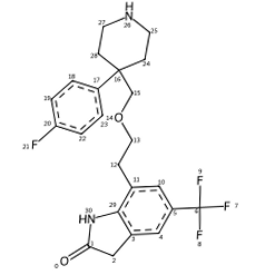 O=C1Cc2cc(C(F)(F)F)cc(CCOCC3(c4ccc(F)cc4)CCNCC3)c2N1